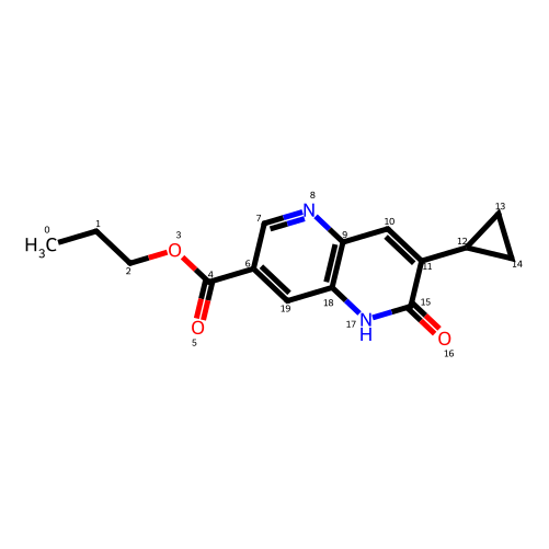 CCCOC(=O)c1cnc2cc(C3CC3)c(=O)[nH]c2c1